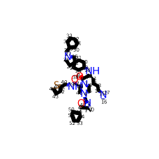 C[C@@H]1N=C(N2CCN(C(=O)[C@H](CCCCN(C)C)NC3CCC4(CC3)CCN(Cc3ccccc3)C4)[C@H](C(=O)NCc3cccs3)C2)O[C@H]1c1ccccc1